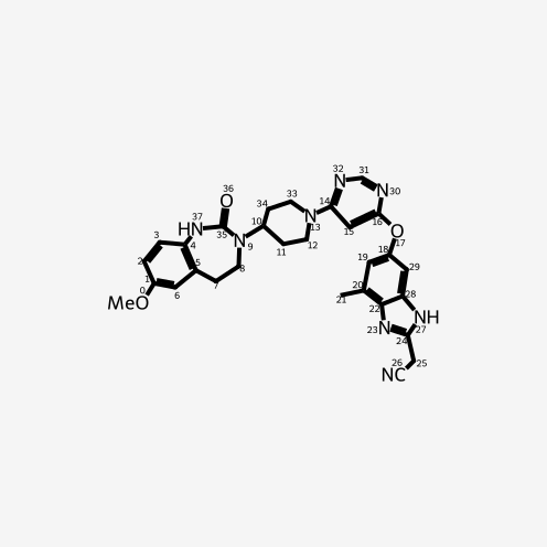 COc1ccc2c(c1)CCN(C1CCN(c3cc(Oc4cc(C)c5nc(CC#N)[nH]c5c4)ncn3)CC1)C(=O)N2